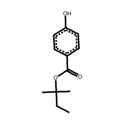 CCC(C)(C)OC(=O)c1ccc(O)cc1